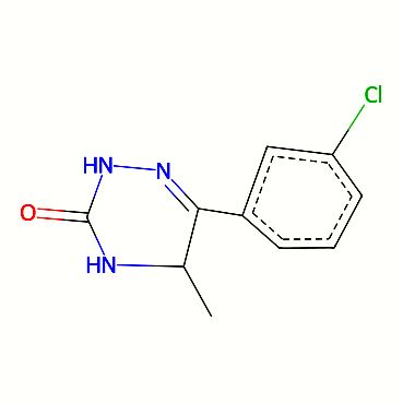 CC1NC(=O)NN=C1c1cccc(Cl)c1